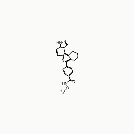 CONC(=O)c1ccc(-c2nc3ccc4[nH]ncc4c3c3c2CCCC3)cc1